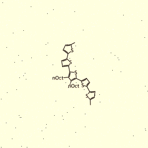 CCCCCCCCc1c(-c2ccc(-c3ccc(C)s3)s2)sc(-c2ccc(-c3ccc(C)s3)s2)c1CCCCCCCC